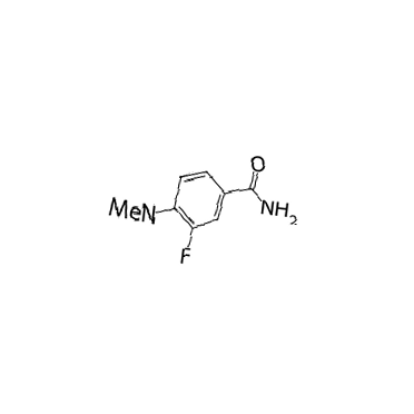 CNc1ccc(C(N)=O)cc1F